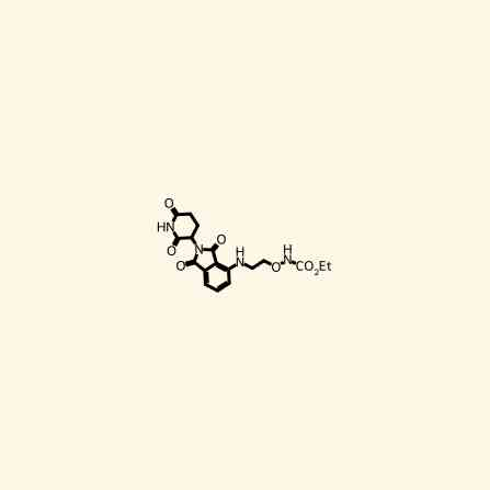 CCOC(=O)NOCCNc1cccc2c1C(=O)N(C1CCC(=O)NC1=O)C2=O